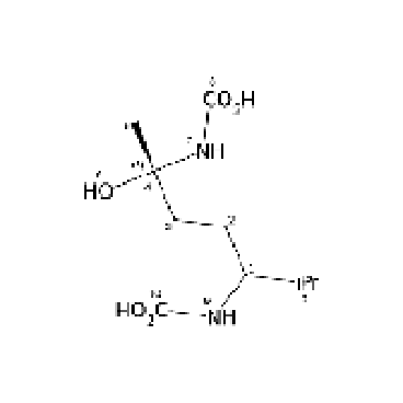 CC(C)C(CC[C@](C)(O)NC(=O)O)NC(=O)O